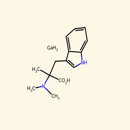 CN(C)C(C)(Cc1c[nH]c2ccccc12)C(=O)O.[GaH3]